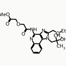 CCOCc1nc2c(NC(=O)COCC(=O)OC)nc3ccccc3c2n1CC(C)(C)O